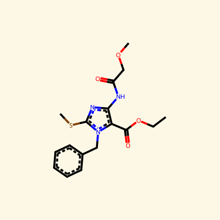 CCOC(=O)c1c(NC(=O)COC)nc(SC)n1Cc1ccccc1